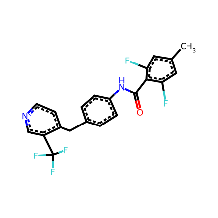 Cc1cc(F)c(C(=O)Nc2ccc(Cc3ccncc3C(F)(F)F)cc2)c(F)c1